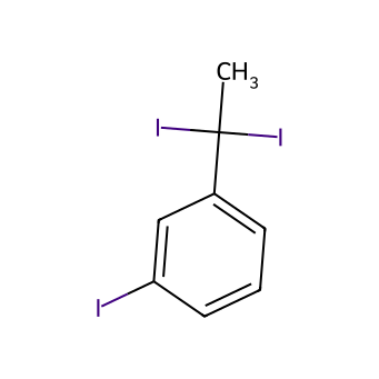 CC(I)(I)c1cccc(I)c1